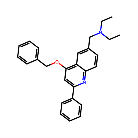 CCN(CC)Cc1ccc2nc(-c3ccccc3)cc(OCc3ccccc3)c2c1